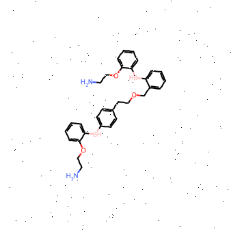 NCCOc1ccccc1Bc1ccc(CCOCc2ccccc2Bc2ccccc2OCCN)cc1